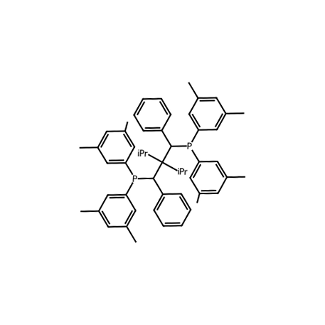 Cc1cc(C)cc(P(c2cc(C)cc(C)c2)C(c2ccccc2)C(C(C)C)(C(C)C)C(c2ccccc2)P(c2cc(C)cc(C)c2)c2cc(C)cc(C)c2)c1